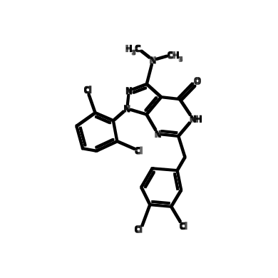 CN(C)c1nn(-c2c(Cl)cccc2Cl)c2nc(Cc3ccc(Cl)c(Cl)c3)[nH]c(=O)c12